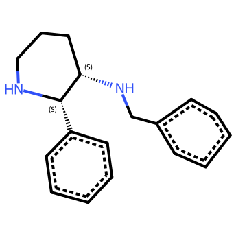 c1ccc(CN[C@H]2CCCN[C@H]2c2ccccc2)cc1